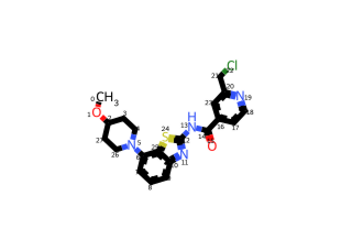 COC1CCN(c2cccc3nc(NC(=O)c4ccnc(CCl)c4)sc23)CC1